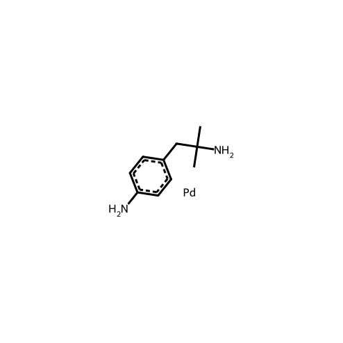 CC(C)(N)Cc1ccc(N)cc1.[Pd]